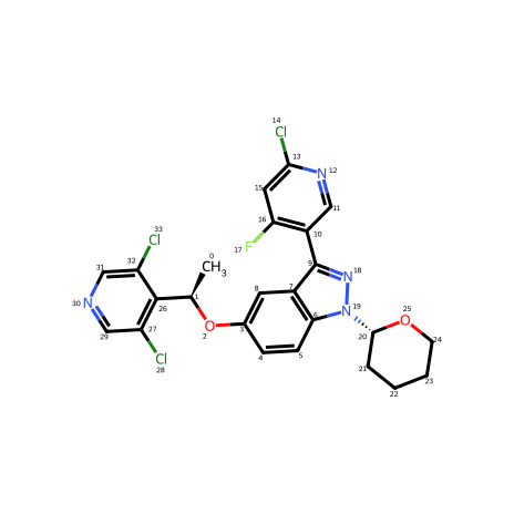 C[C@@H](Oc1ccc2c(c1)c(-c1cnc(Cl)cc1F)nn2[C@H]1CCCCO1)c1c(Cl)cncc1Cl